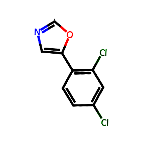 Clc1ccc(-c2cn[c]o2)c(Cl)c1